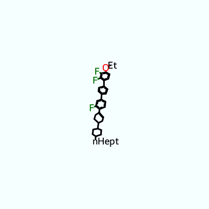 CCCCCCCC1CCC(C2CC=C(c3ccc(-c4ccc(-c5ccc(OCC)c(F)c5F)cc4)cc3F)CC2)CC1